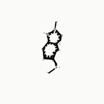 CSc1ccc2nn(C)cc2c1